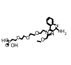 CCOCc1nc2c(N)nc3ccccc3c2n1CCOCCOCCOCCP(=O)(O)O